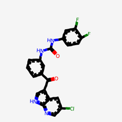 O=C(Nc1cccc(C(=O)c2c[nH]c3ncc(Cl)cc23)c1)Nc1ccc(F)c(F)c1